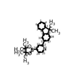 CC1(C)c2ccccc2-c2cc(-c3cc(B4OC(C)(C)C(C)(C)O4)ccn3)ccc21